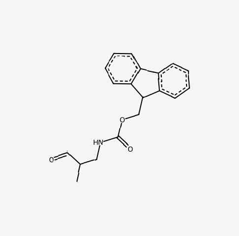 CC([C]=O)CNC(=O)OCC1c2ccccc2-c2ccccc21